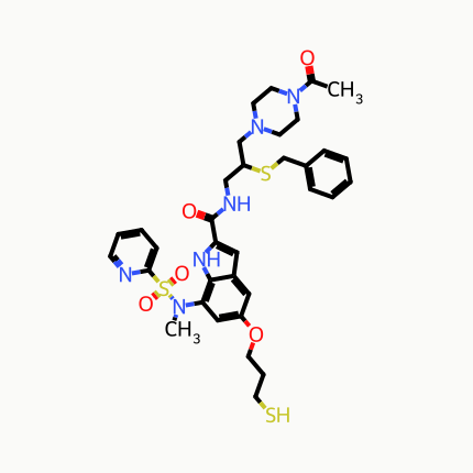 CC(=O)N1CCN(CC(CNC(=O)c2cc3cc(OCCCS)cc(N(C)S(=O)(=O)c4ccccn4)c3[nH]2)SCc2ccccc2)CC1